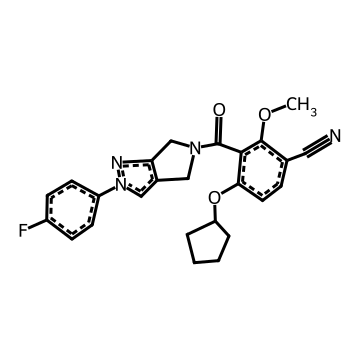 COc1c(C#N)ccc(OC2CCCC2)c1C(=O)N1Cc2cn(-c3ccc(F)cc3)nc2C1